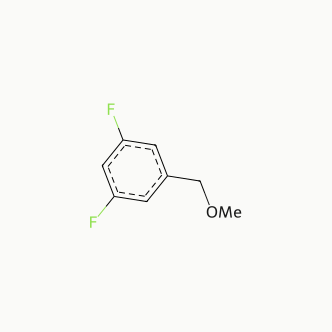 [CH2]OCc1cc(F)cc(F)c1